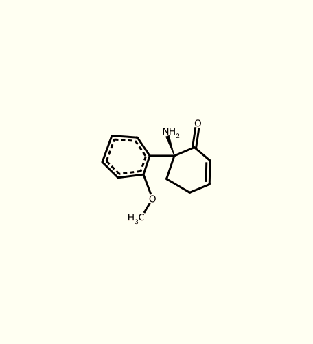 COc1ccccc1[C@@]1(N)CCC=CC1=O